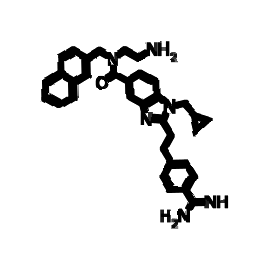 N=C(N)c1ccc(CCc2nc3cc(C(=O)N(CCN)Cc4ccc5ccccc5c4)ccc3n2CC2CC2)cc1